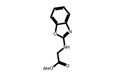 COC(=O)CNc1nc2ccccc2o1